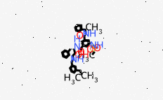 CCS(=O)(=O)Nc1cc(C(=O)N[C@@H](Cc2ccccc2)[C@H](O)CNCc2cccc(CC(C)C)c2)cc(C(=O)N[C@H](C)c2ccccc2)c1